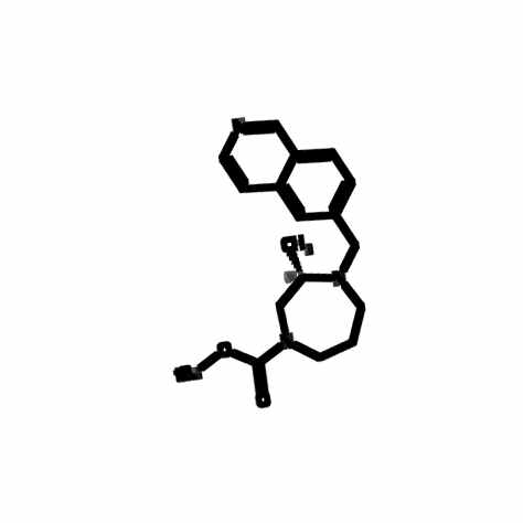 C[C@H]1CN(C(=O)OC(C)(C)C)CCCN1Cc1ccc2cnccc2c1